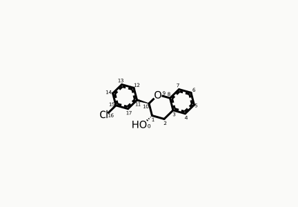 O[C@H]1Cc2ccccc2O[C@@H]1c1cccc(Cl)c1